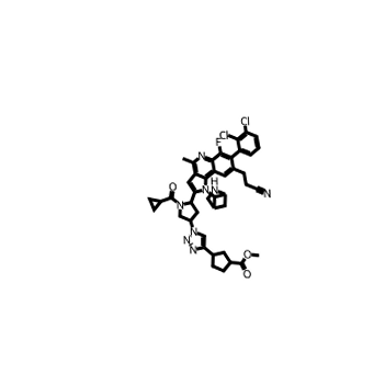 COC(=O)C1CCC(c2cn(C3CC(c4cc5c(C)nc6c(F)c(-c7cccc(Cl)c7Cl)c(CCC#N)cc6c5n4C4C5CNC4C5)N(C(=O)C4CC4)C3)nn2)C1